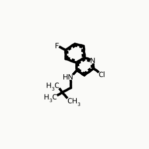 CC(C)(C)CNc1cc(Cl)nc2ccc(F)cc12